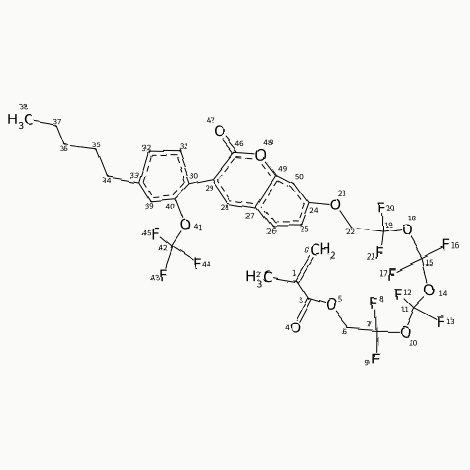 C=C(C)C(=O)OCC(F)(F)OC(F)(F)OC(F)(F)OC(F)(F)COc1ccc2cc(-c3ccc(CCCCC)cc3OC(F)(F)F)c(=O)oc2c1